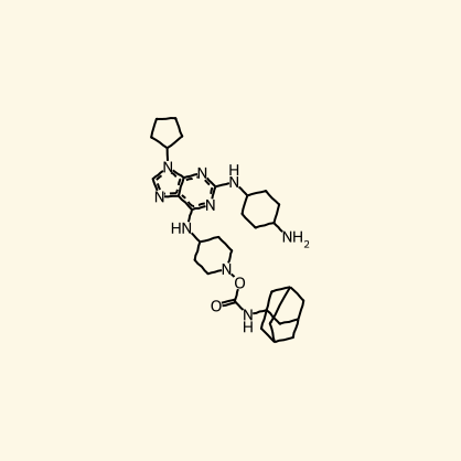 NC1CCC(Nc2nc(NC3CCN(OC(=O)NC45CC6CC(CC(C6)C4)C5)CC3)c3ncn(C4CCCC4)c3n2)CC1